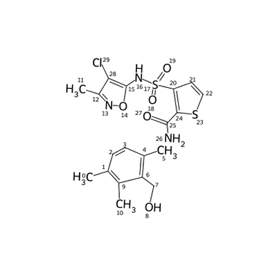 Cc1ccc(C)c(CO)c1C.Cc1noc(NS(=O)(=O)c2ccsc2C(N)=O)c1Cl